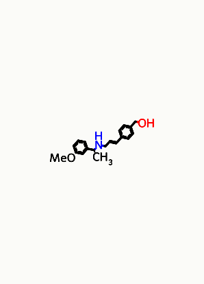 COc1cccc([C@@H](C)NC/C=C/c2ccc(CO)cc2)c1